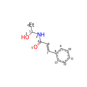 CCC(O)NC(=O)C=Cc1ccccc1